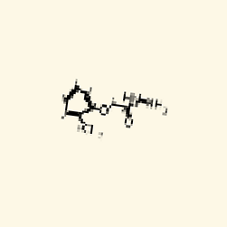 Cc1ccccc1OCC(=O)NN